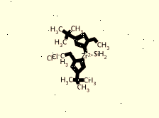 CCC1C=C(C(C)(C)C)C=[C]1[Zr+2](=[SiH2])[C]1=CC(C(C)(C)C)=CC1CC.[Cl-].[Cl-]